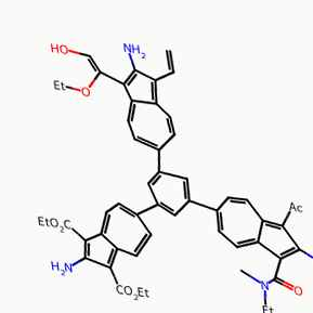 C=Cc1c2ccc(-c3cc(-c4ccc5c(C(=O)OCC)c(N)c(C(=O)OCC)c-5cc4)cc(-c4ccc5c(C(C)=O)c(N)c(C(=O)N(C)CC)c-5cc4)c3)ccc-2c(C(=CO)OCC)c1N